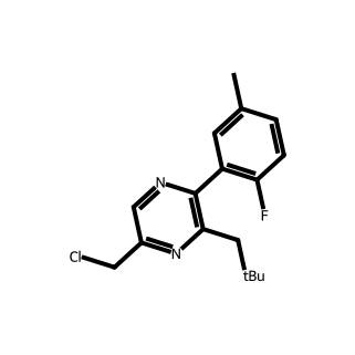 Cc1ccc(F)c(-c2ncc(CCl)nc2CC(C)(C)C)c1